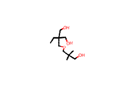 CCC(CO)(CO)COCC(C)(C)CO